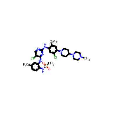 COc1cc(N2CCC(N3CCN(C)CC3)CC2)c(Cl)cc1Nc1ncc(Cl)c(Nc2cc(C(F)(F)F)ccc2NS(C)(=O)=O)n1